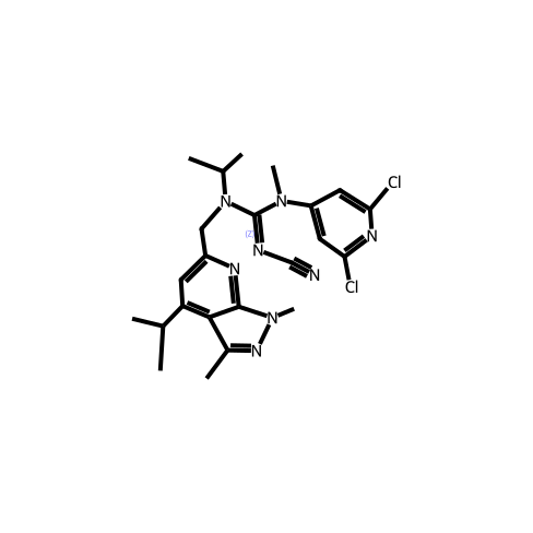 Cc1nn(C)c2nc(CN(/C(=N/C#N)N(C)c3cc(Cl)nc(Cl)c3)C(C)C)cc(C(C)C)c12